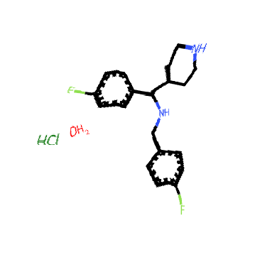 Cl.Fc1ccc(CNC(c2ccc(F)cc2)C2CCNCC2)cc1.O